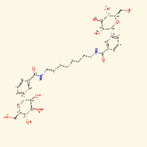 O=C(NCCCCCCCCNC(=O)c1cccc([C@H]2O[C@H](CO)[C@@H](O)[C@H](O)[C@@H]2O)c1)c1cccc([C@H]2O[C@H](CO)[C@@H](O)[C@H](O)[C@H]2O)c1